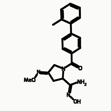 CO/N=C1\CC(/C(N)=N/O)N(C(=O)c2ccc(-c3ccccc3C)cc2)C1